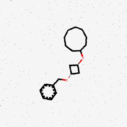 c1ccc(CO[C@H]2C[C@H](OC3CCCCCCCC3)C2)cc1